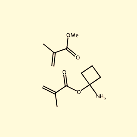 C=C(C)C(=O)OC.C=C(C)C(=O)OC1(N)CCC1